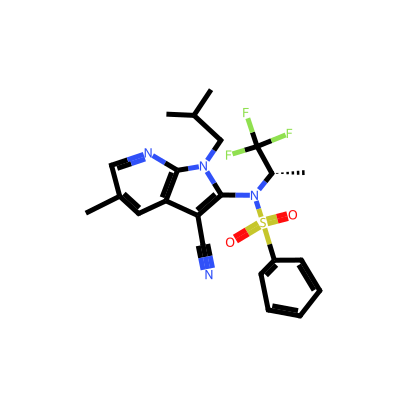 Cc1cnc2c(c1)c(C#N)c(N([C@@H](C)C(F)(F)F)S(=O)(=O)c1ccccc1)n2CC(C)C